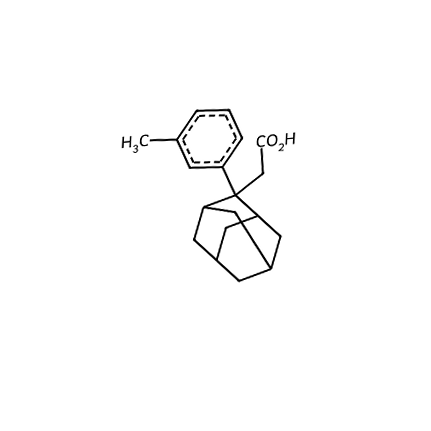 Cc1cccc(C2(CC(=O)O)C3CC4CC(C3)CC2C4)c1